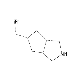 CC(C)CC1CC2CNCC2C1